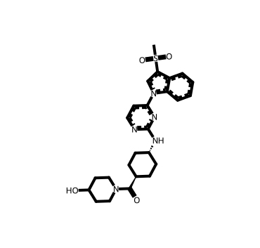 CS(=O)(=O)c1cn(-c2ccnc(N[C@H]3CC[C@H](C(=O)N4CCC(O)CC4)CC3)n2)c2ccccc12